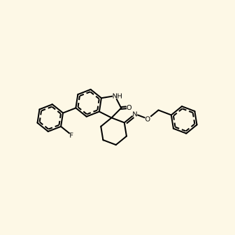 O=C1Nc2ccc(-c3ccccc3F)cc2C12CCCCC2=NOCc1ccccc1